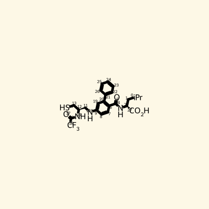 CC(C)C[C@H](NC(=O)c1ccc(NC[C@H](CS)NC(=O)C(F)(F)F)cc1-c1ccccc1)C(=O)O